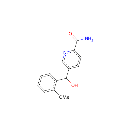 COc1ccccc1C(O)c1ccc(C(N)=O)nc1